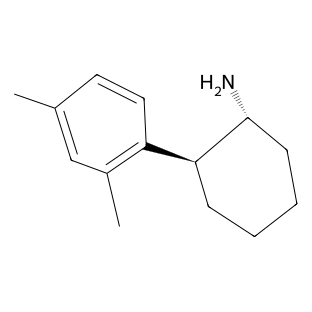 Cc1ccc([C@@H]2CCCC[C@H]2N)c(C)c1